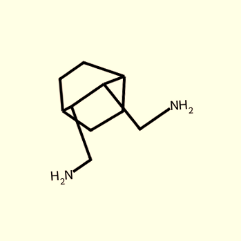 NCC1C2CCC(CC2)C1CN